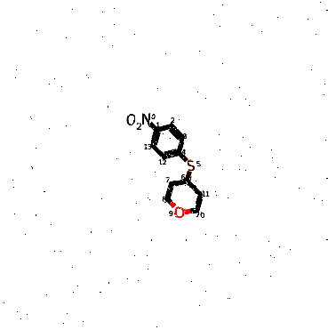 O=[N+]([O-])c1ccc(SC2CCOCC2)cc1